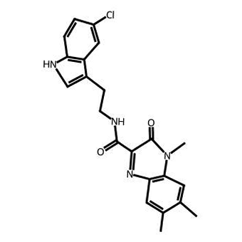 Cc1cc2nc(C(=O)NCCc3c[nH]c4ccc(Cl)cc34)c(=O)n(C)c2cc1C